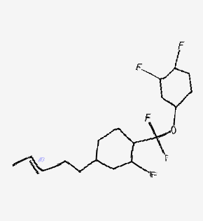 C/C=C/CCC1CCC(C(F)(F)OC2CCC(F)C(F)C2)C(F)C1